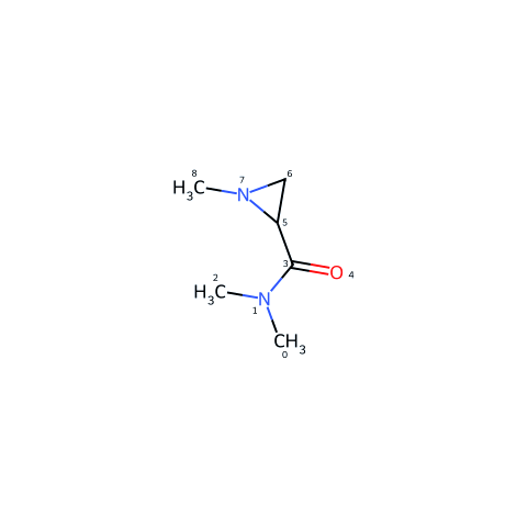 CN(C)C(=O)C1CN1C